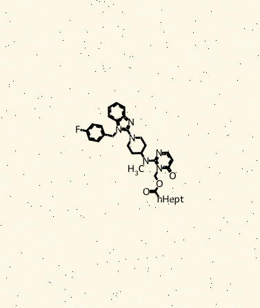 CCCCCCCC(=O)OCn1c(N(C)C2CCN(c3nc4ccccc4n3Cc3ccc(F)cc3)CC2)nccc1=O